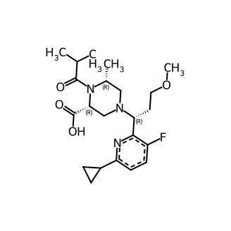 COCC[C@H](c1nc(C2CC2)ccc1F)N1C[C@@H](C)N(C(=O)C(C)C)[C@@H](C(=O)O)C1